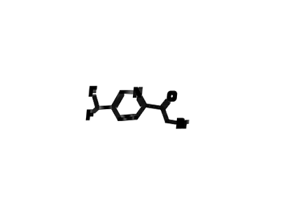 O=C(CBr)c1ccc(C(F)F)cn1